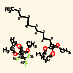 CCCCCCCCCC[Si](OC)(OC)OC.CO[Si](OC)(OC)C(F)(F)F